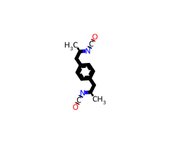 C[C@H](Cc1ccc(C[C@@H](C)N=C=O)cc1)N=C=O